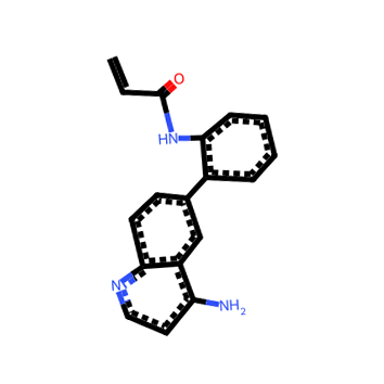 C=CC(=O)Nc1ccccc1-c1ccc2nccc(N)c2c1